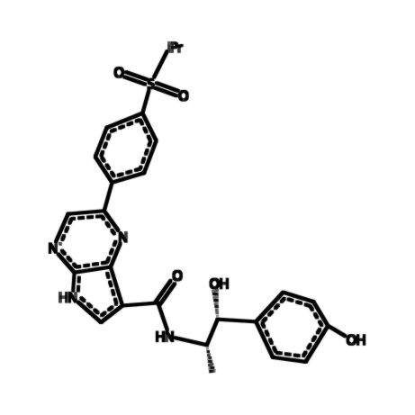 CC(C)S(=O)(=O)c1ccc(-c2cnc3[nH]cc(C(=O)N[C@@H](C)[C@H](O)c4ccc(O)cc4)c3n2)cc1